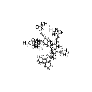 CC(=O)SCC#Cc1cc(NC(=O)[C@H](CCCNC(N)=O)NC(=O)[C@@H](NC(=O)OCC2c3ccccc3-c3ccccc32)C(C)C)ccc1CO[Si](C)(C)C(C)(C)C